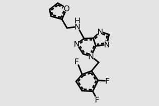 Fc1ccc(F)c(Cn2cnc(NCc3ccco3)c3ncnc2-3)c1F